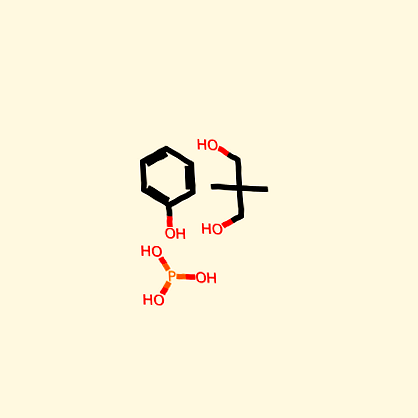 CC(C)(CO)CO.OP(O)O.Oc1ccccc1